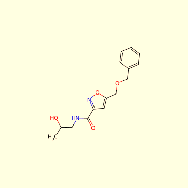 CC(O)CNC(=O)c1cc(COCc2ccccc2)on1